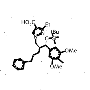 CCc1nn(C[C@H](CCCc2ccccc2)[C@H](O[Si](C)(C)C(C)(C)C)c2cc(OC)c(C)c(OC)c2)cc1C(=O)O